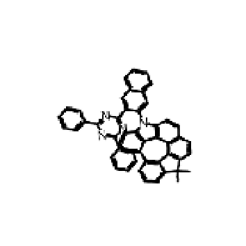 CC1(C)c2cccc3c2-c2c1ccc1ccc4c(c21)c1c-3cccc1n4-c1cc2ccccc2cc1-c1nc(-c2ccccc2)nc(-c2ccccc2)n1